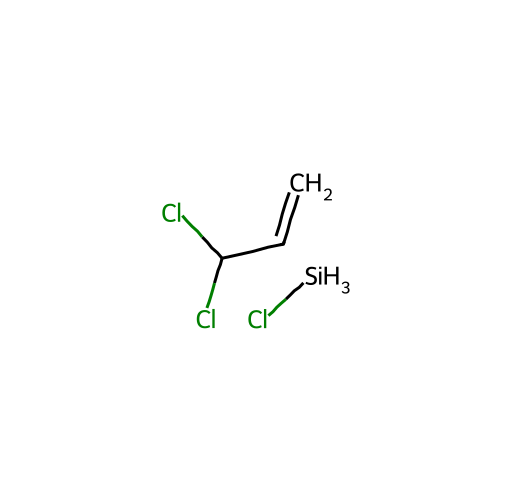 C=CC(Cl)Cl.[SiH3]Cl